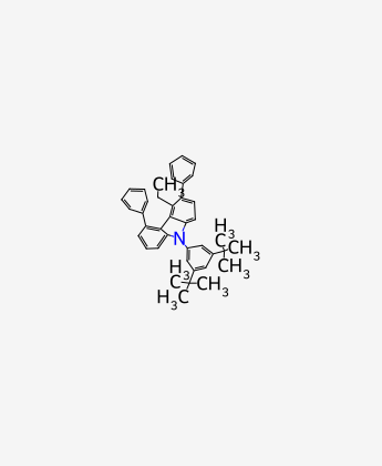 CCc1c(-c2ccccc2)ccc2c1c1c(-c3ccccc3)cccc1n2-c1cc(C(C)(C)C)cc(C(C)(C)C)c1